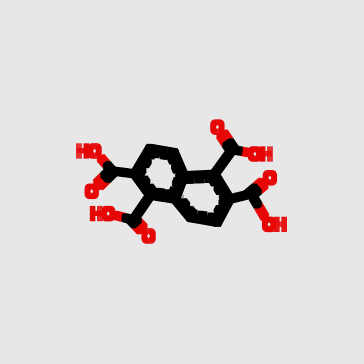 O=C(O)c1ccc2c(C(=O)O)c(C(=O)O)ccc2c1C(=O)O